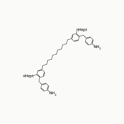 CCCCCCCc1cc(CCCCCCCCCCCc2ccc(Cc3ccc(N)cc3)c(CCCCCCC)c2)ccc1Cc1ccc(N)cc1